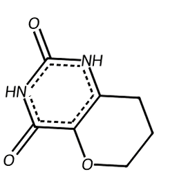 O=c1[nH]c2c(c(=O)[nH]1)OCCC2